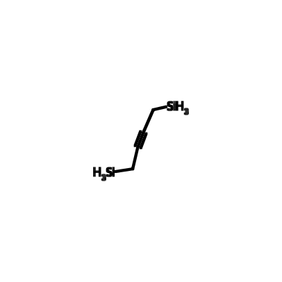 [SiH3]CC#CC[SiH3]